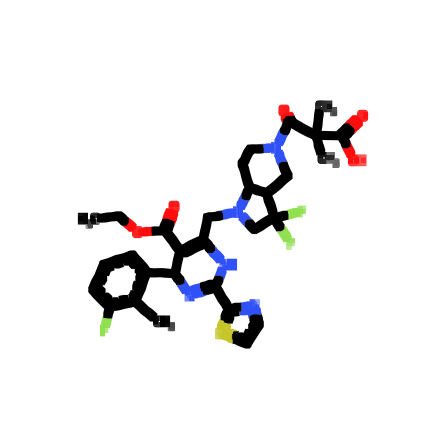 CCOC(=O)C1=C(CN2CC(F)(F)C3CN(C(=O)C(C)(C)C(=O)O)CCC32)NC(c2nccs2)=NC1c1cccc(F)c1C